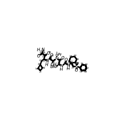 CCCN(C(=O)[C@@H](NC(=O)NC1(CS(=O)(=O)c2ccccc2)CCCCC1)C(C)(C)C)[C@@H](C)C(=O)NC(CC1CCC1)C(=O)C(N)=O